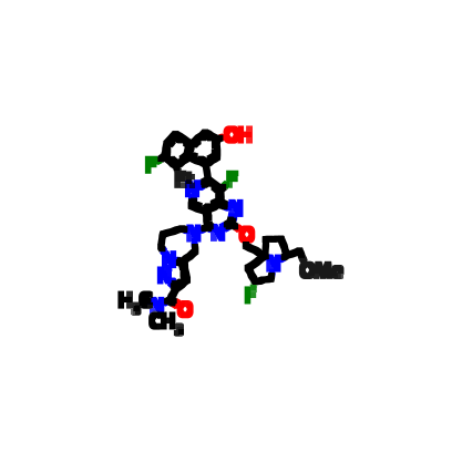 CCc1c(F)ccc2cc(O)cc(-c3ncc4c(N5CCCn6nc(C(=O)N(C)C)cc6C5)nc(OCC56CCC(COC)N5C[C@H](F)C6)nc4c3F)c12